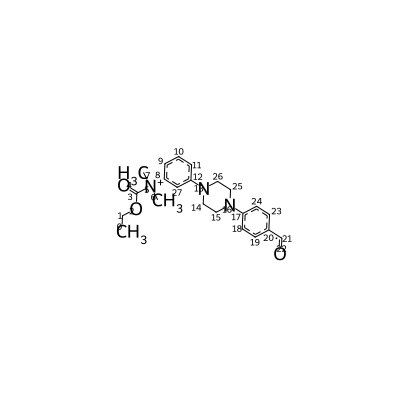 CCOC(=O)[N+](C)(C)c1cccc(N2CCN(c3ccc([C]=O)cc3)CC2)c1